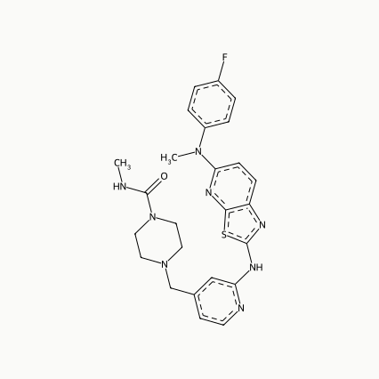 CNC(=O)N1CCN(Cc2ccnc(Nc3nc4ccc(N(C)c5ccc(F)cc5)nc4s3)c2)CC1